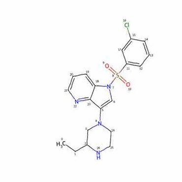 CCC1CN(c2cn(S(=O)(=O)c3cccc(Cl)c3)c3cccnc23)CCN1